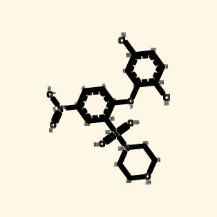 O=[N+]([O-])c1ccc(Oc2cc(Cl)ccc2Cl)c(S(=O)(=O)N2CCOCC2)c1